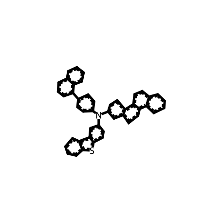 c1ccc2c(-c3ccc(N(c4ccc5c(ccc6c7ccccc7ccc56)c4)c4ccc5sc6ccccc6c5c4)cc3)cccc2c1